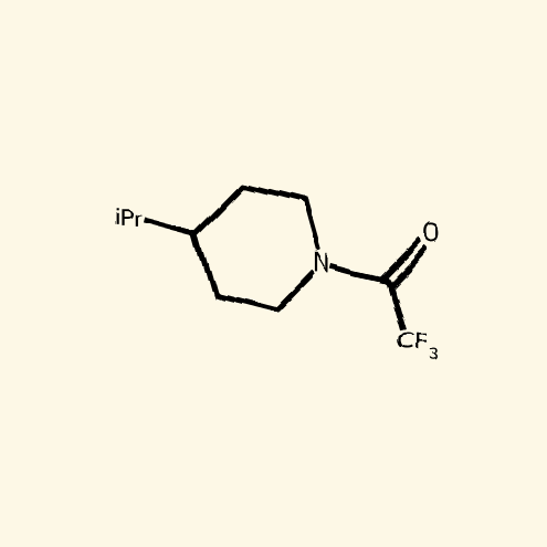 CC(C)C1CCN(C(=O)C(F)(F)F)CC1